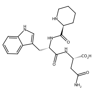 NC(=O)C[C@H](NC(=O)[C@H](Cc1c[nH]c2ccccc12)NC(=O)[C@@H]1CCCCN1)C(=O)O